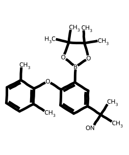 Cc1cccc(C)c1Oc1ccc(C(C)(C)N=O)cc1B1OC(C)(C)C(C)(C)O1